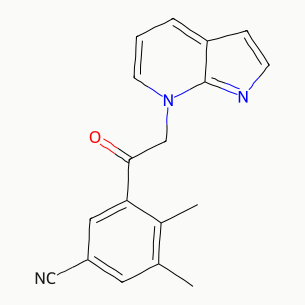 Cc1cc(C#N)cc(C(=O)Cn2cccc3ccnc2-3)c1C